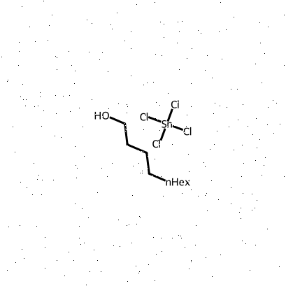 CCCCCCCCCCO.[Cl][Sn]([Cl])([Cl])[Cl]